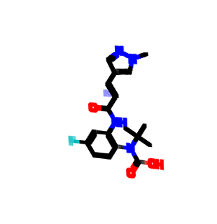 Cn1cc(/C=C/C(=O)Nc2cc(F)ccc2N(C(=O)O)C(C)(C)C)cn1